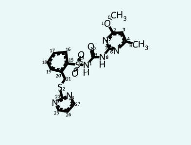 COc1cc(C)nc(NC(=O)NS(=O)(=O)c2ccccc2CSc2ncccn2)n1